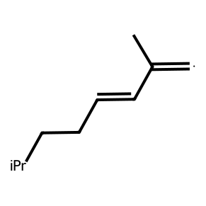 [CH]=C(C)C=CCCC(C)C